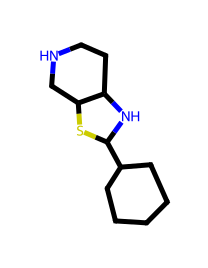 C1CCC(C2NC3CCNCC3S2)CC1